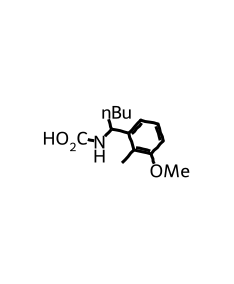 CCCCC(NC(=O)O)c1cccc(OC)c1C